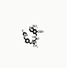 COc1cc2c(N)nccc2cc1CNC(=O)c1nc(C)n(Cc2ccc(Cn3cc(F)cn3)cc2)n1